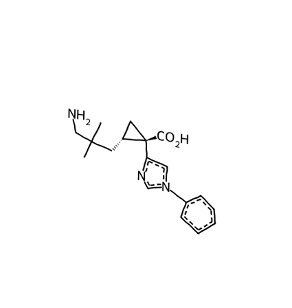 CC(C)(CN)C[C@@H]1C[C@]1(C(=O)O)c1cn(-c2ccccc2)cn1